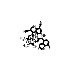 C=C(CC)N1C=C([C@@H](Nc2cc(C#N)c3ncc(C#N)c(NCC(C)(C)C)c3c2)c2ccc(F)c3ncccc23)NN1